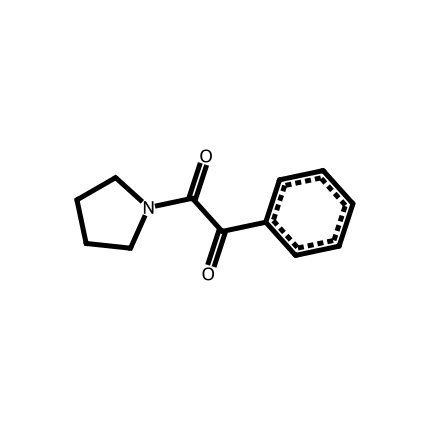 O=C(C(=O)N1CCCC1)c1ccccc1